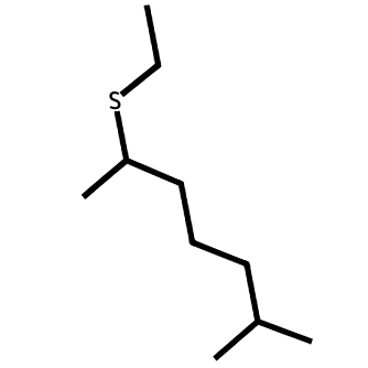 CCSC(C)CCCC(C)C